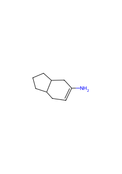 NC1=CCC2CCCC2C1